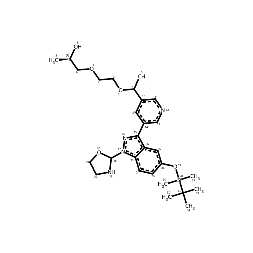 CC(OCCOC[C@@H](C)O)c1cncc(-c2nn(C3NCCO3)c3ccc(O[Si](C)(C)C(C)(C)C)cc23)c1